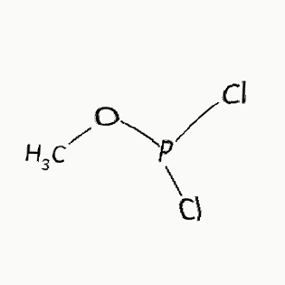 COP(Cl)Cl